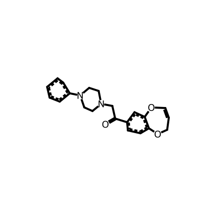 O=C(CN1CCN(c2ccccc2)CC1)c1ccc2c(c1)OC=CCO2